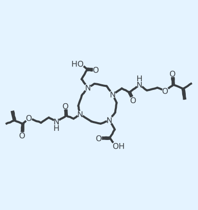 C=C(C)C(=O)OCCNC(=O)CN1CCN(CC(=O)O)CCN(CC(=O)NCCOC(=O)C(=C)C)CCN(CC(=O)O)CC1